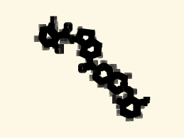 O=C(NC1CCc2ccc(C(=O)N3CCC4(CCN(Cc5c(F)cccc5F)CC4)CC3)cc21)c1c(F)cccc1Cl